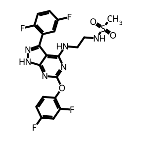 CS(=O)(=O)NCCNc1nc(Oc2ccc(F)cc2F)nc2[nH]nc(-c3cc(F)ccc3F)c12